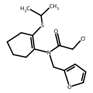 CC(C)SC1=C(N(Cc2ccco2)C(=O)CCl)CCCC1